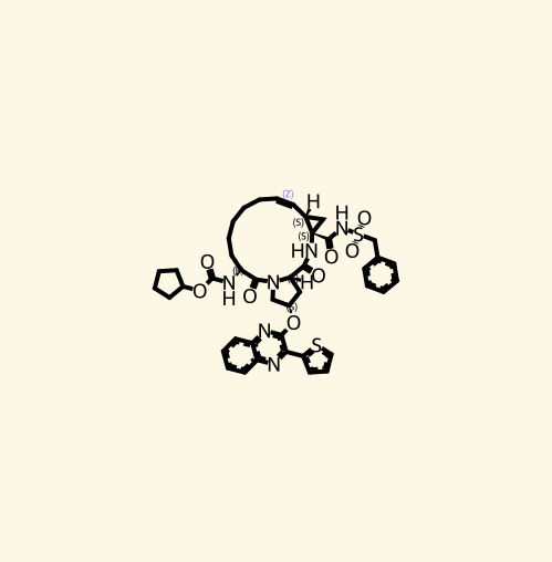 O=C(N[C@@H]1CCCCC/C=C\[C@@H]2C[C@]2(C(=O)NS(=O)(=O)Cc2ccccc2)NC(=O)[C@@H]2C[C@H](Oc3nc4ccccc4nc3-c3cccs3)CN2C1=O)OC1CCCC1